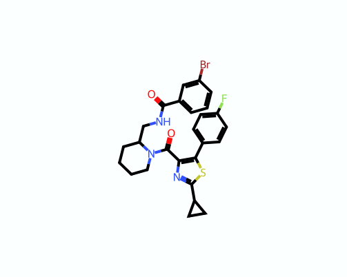 O=C(NCC1CCCCN1C(=O)c1nc(C2CC2)sc1-c1ccc(F)cc1)c1cccc(Br)c1